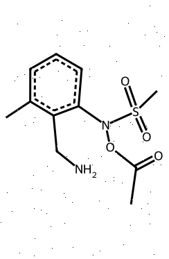 CC(=O)ON(c1cccc(C)c1CN)S(C)(=O)=O